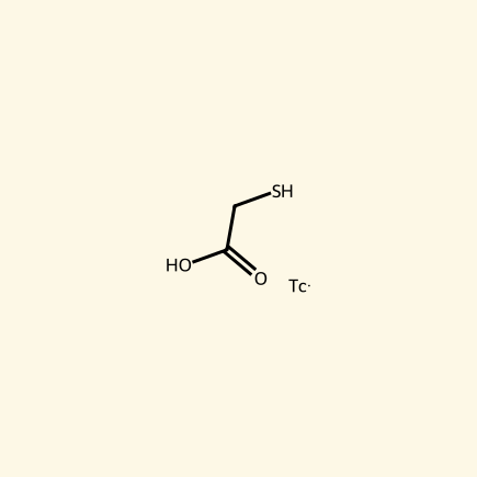 O=C(O)CS.[Tc]